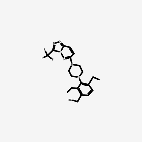 CCc1ccc(CO)c(CC)c1N1CCN(c2ccc3nnc(C(F)(F)F)n3n2)CC1